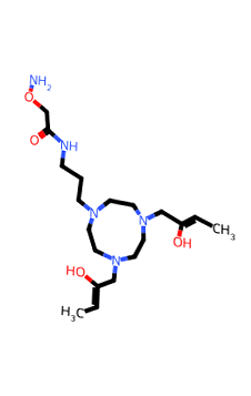 CC=C(O)CN1CCN(CCCNC(=O)CON)CCN(CC(O)=CC)CC1